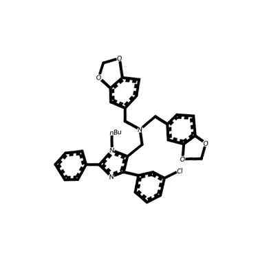 CCCCn1c(-c2ccccc2)nc(-c2cccc(Cl)c2)c1CN(Cc1ccc2c(c1)OCO2)Cc1ccc2c(c1)OCO2